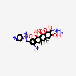 CN1CCC(NCc2cc(N(C)C)c3c(c2O)C(=O)C2=C(O)[C@]4(O)C(=O)C(C(N)=O)C(O)C[C@@H]4C[C@@H]2C3)CC1